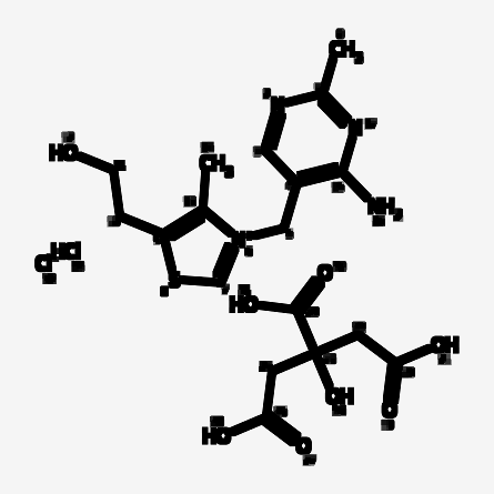 Cc1ncc(C[n+]2csc(CCO)c2C)c(N)n1.Cl.O=C(O)CC(O)(CC(=O)O)C(=O)O.[Cl-]